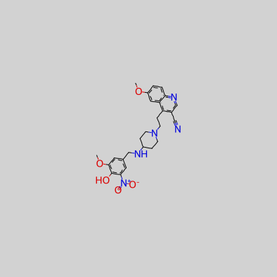 COc1ccc2ncc(C#N)c(CCN3CCC(NCc4cc(OC)c(O)c([N+](=O)[O-])c4)CC3)c2c1